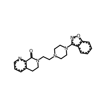 O=C1c2ncccc2CCN1CCN1CCN(c2noc3ccccc23)CC1